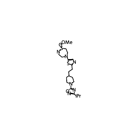 COOS1=NCCN(c2cnc(CCC3CCN(c4nc(C(C)C)no4)CC3)s2)CC1